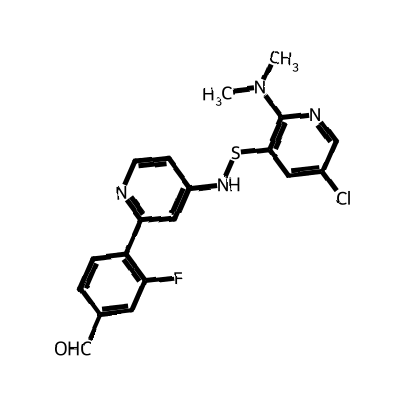 CN(C)c1ncc(Cl)cc1SNc1ccnc(-c2ccc(C=O)cc2F)c1